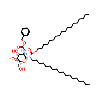 CCCCCCCCCCCCCCCCCCOC(=O)N(CCCCCCCCCCCCCCCCCC)[C@@H]1O[C@H](CO)[C@H](O)[C@H](O)[C@H]1NC(=O)OCc1ccccc1